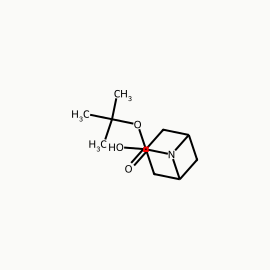 CC(C)(C)OC(=O)N1C2CC(O)CC1C2